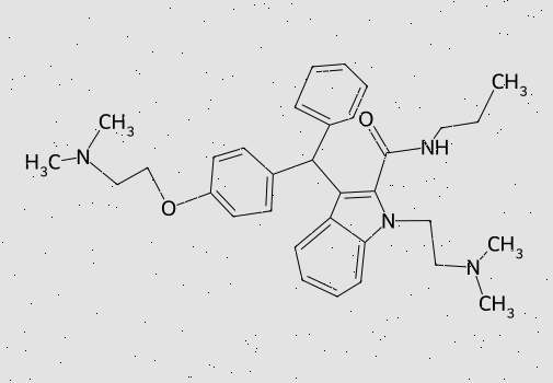 CCCNC(=O)c1c(C(c2ccccc2)c2ccc(OCCN(C)C)cc2)c2ccccc2n1CCN(C)C